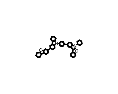 c1ccc(-n2c3ccc(-c4ccc(-n5c6ccccc6c6cc(-c7ccc8c(c7)oc7ccccc78)ccc65)cc4)cc3c3c4ccccc4oc32)cc1